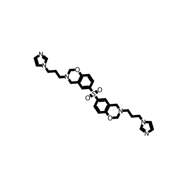 O=S(=O)(c1ccc2c(c1)CN(CCCn1ccnc1)CO2)c1ccc2c(c1)CN(CCCn1ccnc1)CO2